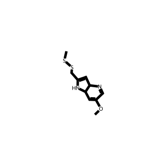 COC1=CC2NC(CSSC)=CC2N=C1